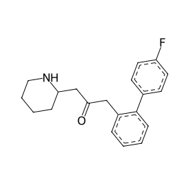 O=C(Cc1ccccc1-c1ccc(F)cc1)CC1CCCCN1